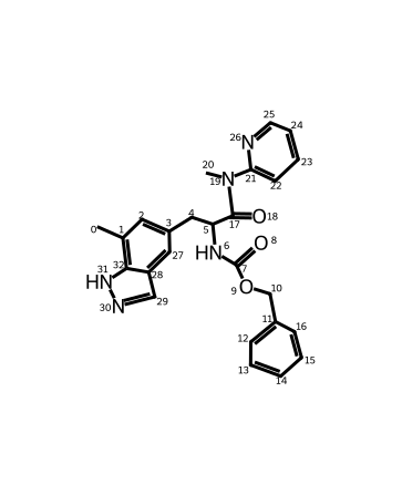 Cc1cc(CC(NC(=O)OCc2ccccc2)C(=O)N(C)c2ccccn2)cc2cn[nH]c12